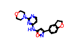 c1cc(Nc2cc(-c3ccc4c(c3)CCO4)no2)nc(N2CCOCC2)n1